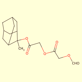 CC1(OC(=O)COC(=O)COC=O)C2CC3CC(C2)CC1C3